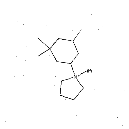 CC1CC([N+]2(C(C)C)CCCC2)CC(C)(C)C1